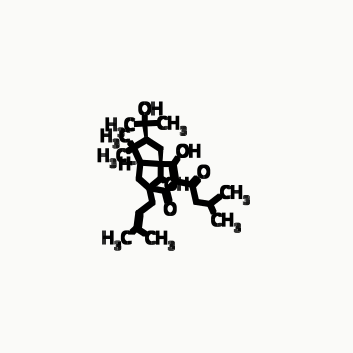 CC(C)=CCC12C[C@H]3C(C)(C)[C@@H](C(C)(C)O)C[C@@]3(C(O)=C(C(=O)CC(C)C)C1=O)C2O